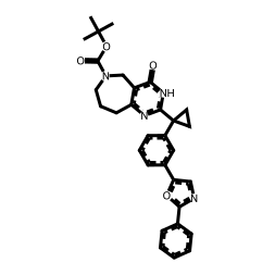 CC(C)(C)OC(=O)N1CCCc2nc(C3(c4cccc(-c5cnc(-c6ccccc6)o5)c4)CC3)[nH]c(=O)c2C1